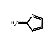 C=C1C=CC=N1